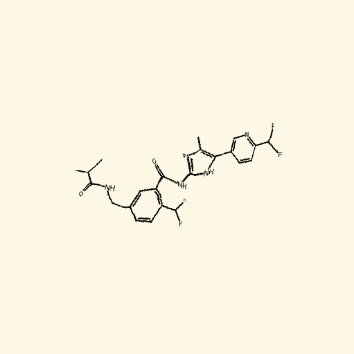 Cc1nc(NC(=O)c2cc(CNC(=O)C(C)C)ccc2C(F)F)[nH]c1-c1ccc(C(F)F)nc1